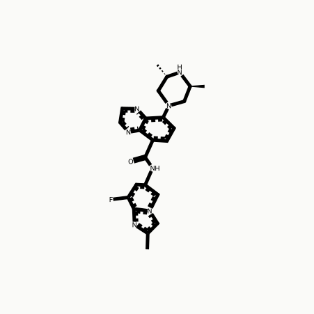 Cc1cn2cc(NC(=O)c3ccc(N4C[C@H](C)N[C@@H](C)C4)c4nccnc34)cc(F)c2n1